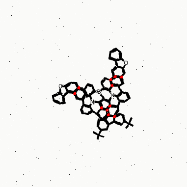 CC(C)(C)c1ccc2c(c1)c1cc(C(C)(C)C)ccc1n2-c1cc2c3c(c1)N(c1c(-c4ccccc4)cccc1-c1ccccc1)c1cc(-c4ccc5oc6ccccc6c5c4)ccc1B3c1ccc(-c3ccc4oc5ccccc5c4c3)cc1N2c1c(-c2ccccc2)cccc1-c1ccccc1